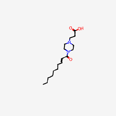 CCCCCCCC=CC(=O)N1CCN(CCC(=O)O)CC1